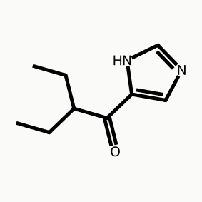 CCC(CC)C(=O)c1cnc[nH]1